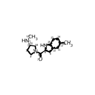 CN[C@H]1CCN(C(=O)c2cc3cc(C)ccc3[nH]2)C1